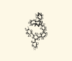 c1ccc(-c2cc(-c3ccccc3)cc(-c3cccc(-c4cccc(-c5nc(-c6ccncc6)c6ccccc6n5)c4)c3)c2)cc1